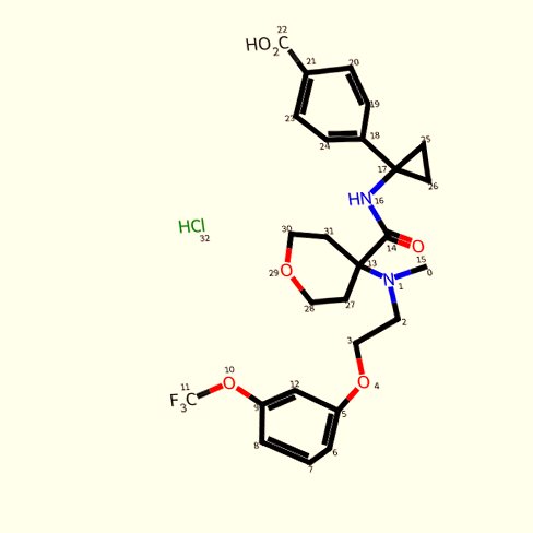 CN(CCOc1cccc(OC(F)(F)F)c1)C1(C(=O)NC2(c3ccc(C(=O)O)cc3)CC2)CCOCC1.Cl